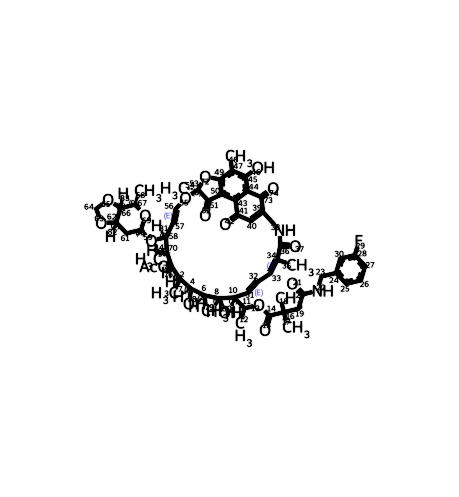 CC(=O)O[C@H]1[C@H](C)[C@H](O)[C@H](C)[C@@H](O)[C@@H](C(C)OC(=O)C(C)(C)CC(=O)NCc2cccc(F)c2)/C=C/C=C(/C)C(=O)NC2=CC(=O)c3c(c(O)c(C)c4c3C(=O)[C@@](C)(O/C=C/[C@H](O[C@H]3C[C@@H]5OCO[C@@H]5[C@@H](C)O3)[C@H]1C)O4)C2=O